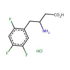 Cl.NC(CC(=O)O)Cc1cc(F)c(F)cc1F